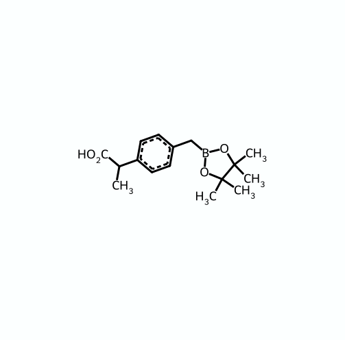 CC(C(=O)O)c1ccc(CB2OC(C)(C)C(C)(C)O2)cc1